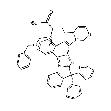 CCCCC(=O)C(Cc1c2ccocc-2c(Br)c1-c1ccccc1-c1nnn(C(c2ccccc2)(c2ccccc2)c2ccccc2)n1)C(=O)COCc1ccccc1